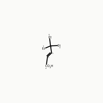 CCC(C=CC(=O)O)(CC)CC